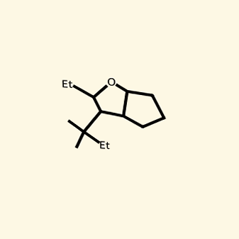 CCC1OC2CCCC2C1C(C)(C)CC